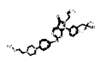 C=CCn1c(=O)c2cnc(Nc3ccc(N4CCN(CCOC)CC4)cc3)nc2n1-c1cccc(CC(C)(C)O)c1